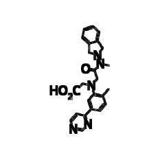 Cc1ccc(-c2ccncn2)cc1N(CC(=O)O)CC(=O)N(C)N1Cc2ccccc2C1